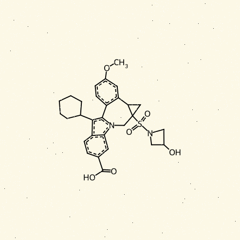 COc1ccc2c(c1)C1CC1(S(=O)(=O)N1CC(O)C1)Cn1c-2c(C2CCCCC2)c2ccc(C(=O)O)cc21